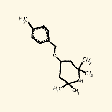 Cc1ccc(COC2CC(C)(C)NC(C)(C)C2)cc1